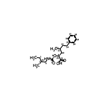 CC[C@H](C)CNC(=O)O[C@@H](CC(C)CCc1ccccc1)C(=O)O